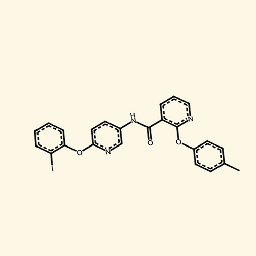 Cc1ccc(Oc2ncccc2C(=O)Nc2ccc(Oc3ccccc3I)nc2)cc1